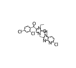 CCn1c(C(=O)c2ccc(Cl)cc2Cl)cn(Cc2nc3nc(Cl)ccc3[nH]2)c1=O